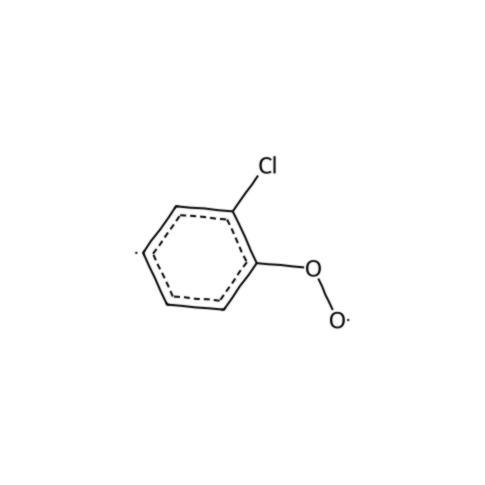 [O]Oc1cc[c]cc1Cl